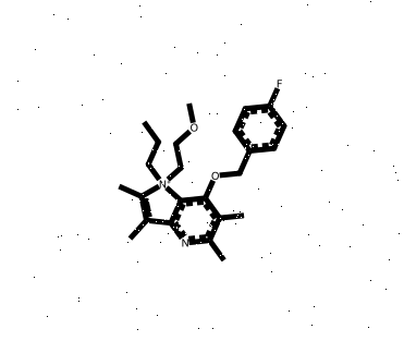 CCC[N+]1(CCOC)C(C)=C(C)c2nc(C)c(C)c(OCc3ccc(F)cc3)c21